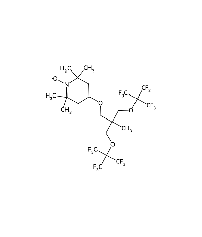 CC(COC1CC(C)(C)N([O])C(C)(C)C1)(COC(C(F)(F)F)(C(F)(F)F)C(F)(F)F)COC(C(F)(F)F)(C(F)(F)F)C(F)(F)F